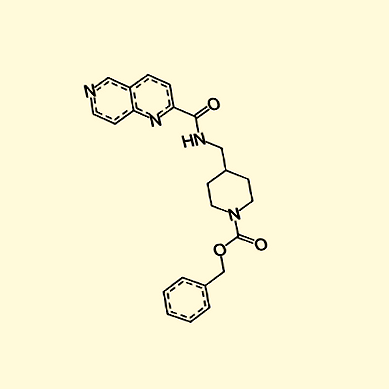 O=C(NCC1CCN(C(=O)OCc2ccccc2)CC1)c1ccc2cnccc2n1